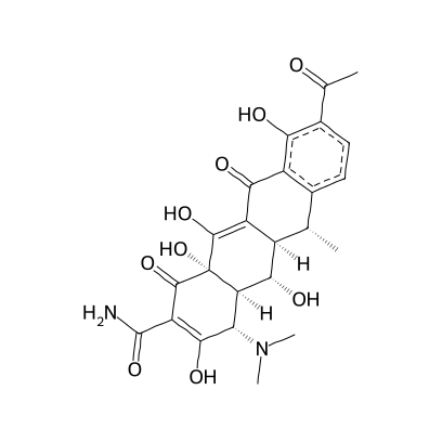 CC(=O)c1ccc2c(c1O)C(=O)C1=C(O)[C@]3(O)C(=O)C(C(N)=O)=C(O)[C@@H](N(C)C)[C@@H]3[C@@H](O)[C@@H]1[C@H]2C